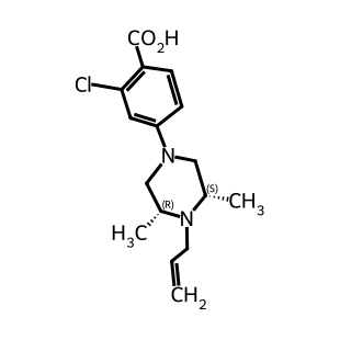 C=CCN1[C@H](C)CN(c2ccc(C(=O)O)c(Cl)c2)C[C@@H]1C